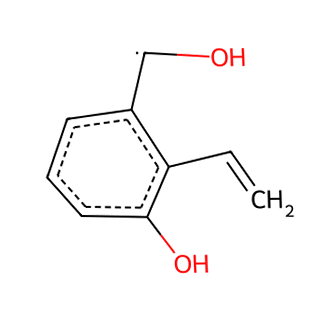 C=Cc1c(O)cccc1[CH]O